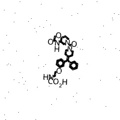 O=C(O)NCCOc1cccc(C(=C2CCN(C(=O)N3CCC4OCC(=O)NC4C3)CC2)c2ccccc2)c1